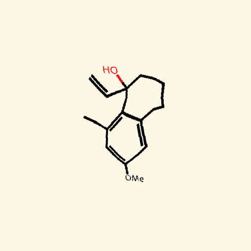 C=CC1(O)CCCc2cc(OC)cc(C)c21